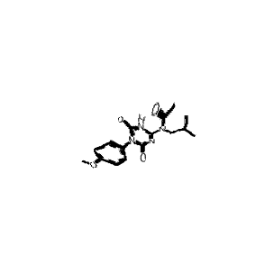 COc1ccc(-n2c(=O)nc(N(CC(C)C)C(C)=O)[nH]c2=O)cc1